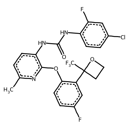 Cc1ccc(NC(=O)Nc2ccc(Cl)cc2F)c(Oc2ccc(F)cc2C2(C(F)(F)F)CCO2)n1